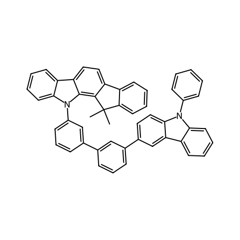 CC1(C)c2ccccc2-c2ccc3c4ccccc4n(-c4cccc(-c5cccc(-c6ccc7c(c6)c6ccccc6n7-c6ccccc6)c5)c4)c3c21